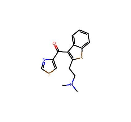 CN(C)CCc1sc2ccccc2c1C(=O)c1cscn1